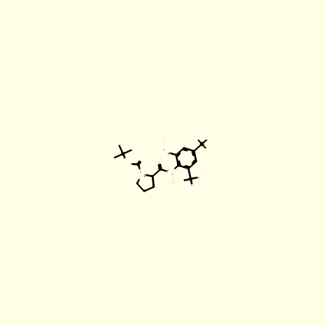 CC(C)(C)OC(=O)N1CCCC1C(=O)Nc1c(N)cc(C(F)(F)F)cc1C(F)(F)F